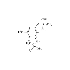 Cc1cc(O[Si](C)(C)C(C)(C)C)cc(O[Si](C)(C)C(C)(C)C)c1